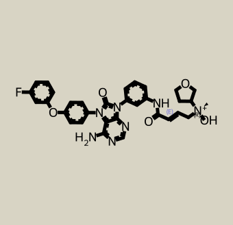 C[N@@+](O)(C/C=C/C(=O)Nc1cccc(-n2c(=O)n(-c3ccc(Oc4cccc(F)c4)cc3)c3c(N)ncnc32)c1)C1CCOC1